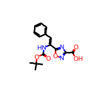 CC(C)(C)OC(=O)NC(=Cc1ccccc1)c1nc(C(=O)O)no1